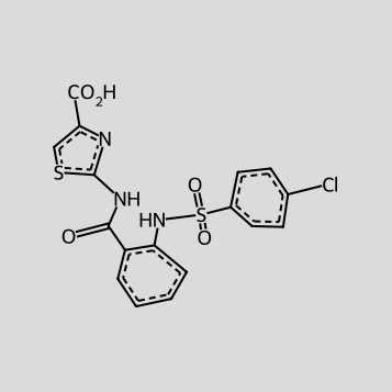 O=C(O)c1csc(NC(=O)c2ccccc2NS(=O)(=O)c2ccc(Cl)cc2)n1